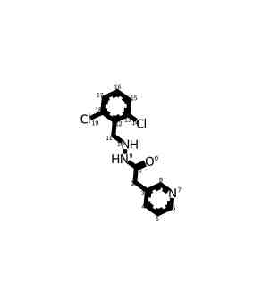 O=C(Cc1cccnc1)NNCc1c(Cl)cccc1Cl